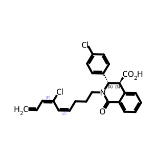 C=C/C=C(Cl)\C=C/CCCN1C(=O)c2ccccc2[C@H](C(=O)O)[C@H]1c1ccc(Cl)cc1